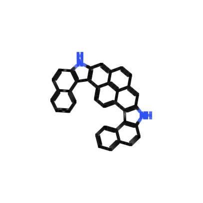 c1ccc2c(c1)ccc1[nH]c3cc4ccc5cc6[nH]c7ccc8ccccc8c7c6c6ccc(c4c56)c3c12